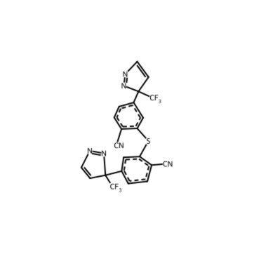 N#Cc1ccc(C2(C(F)(F)F)C=CN=N2)cc1Sc1cc(C2(C(F)(F)F)C=CN=N2)ccc1C#N